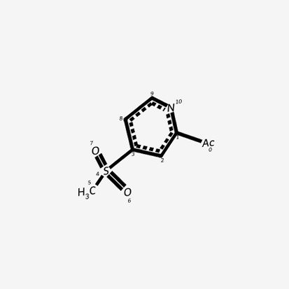 CC(=O)c1cc(S(C)(=O)=O)ccn1